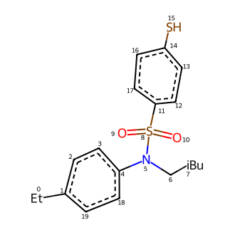 CCc1ccc(N(CC(C)CC)S(=O)(=O)c2ccc(S)cc2)cc1